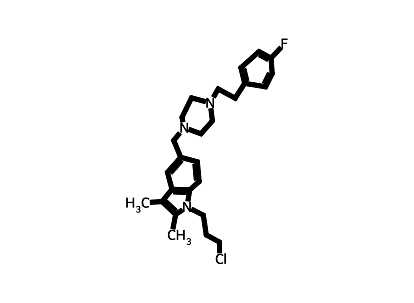 Cc1c(C)n(CCCCl)c2ccc(CN3CCN(CCc4ccc(F)cc4)CC3)cc12